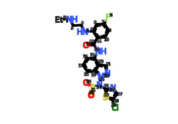 CCNCCNc1cc(F)ccc1C(=O)Nc1cccc2c1cnn2N(c1ncc(Cl)s1)[SH](=O)=O